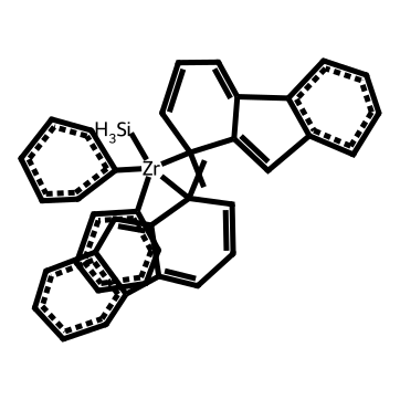 C[C]1([Zr]([SiH3])([c]2ccccc2)([c]2ccccc2)[C]2(C)C=CC=C3C2=Cc2ccccc23)C=CC=C2C1=Cc1ccccc12